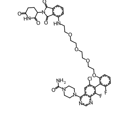 NC(=O)N1CCN(c2ncnc3c(F)c(-c4c(F)cccc4OCCOCCOCCOCCNc4cccc5c4C(=O)N(C4CCC(=O)NC4=O)C5=O)c(Cl)cc23)CC1